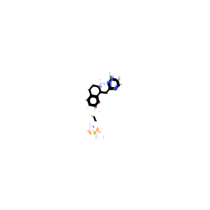 CC(C)S(=O)(=O)NCCOc1ccc2c(c1)C(Cc1ccc(Cl)c(Cl)c1)C(N)CC2